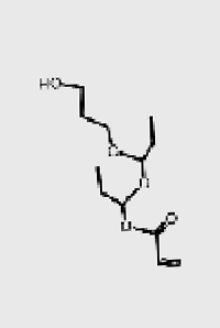 C=CC(=O)OC(CC)OC(CC)OCCCO